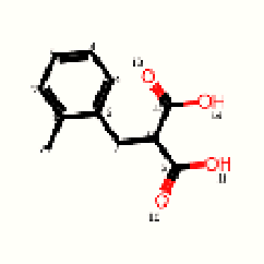 Cc1ccccc1CC(C(=O)O)C(=O)O